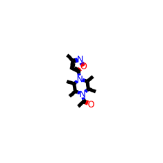 CC(=O)N1C(C)C(C)N(c2cc(C)no2)C(C)C1C